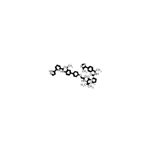 COc1cc(C2=CCC(OCC(=O)N[C@H](C(=O)N3CCC[C@H]3C(=O)N[C@@H](C)c3ccc(-c4scnc4C)cc3)C(C)(C)C)CC2)ccc1NC(=O)c1cccc(-c2ccn[nH]2)n1